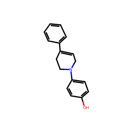 Oc1ccc(N2CC=C(c3ccccc3)CC2)cc1